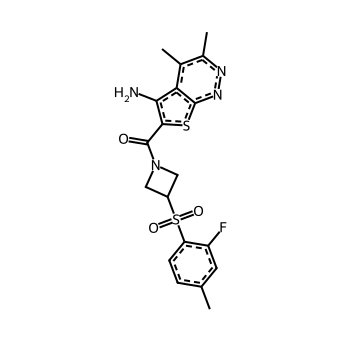 Cc1ccc(S(=O)(=O)C2CN(C(=O)c3sc4nnc(C)c(C)c4c3N)C2)c(F)c1